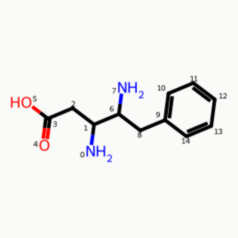 NC(CC(=O)O)C(N)Cc1ccccc1